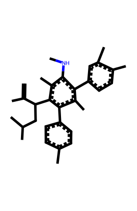 C=C(C)C(CC(C)C)c1c(C)c(NC)c(-c2ccc(C)c(C)c2)c(C)c1-c1ccc(C)cc1